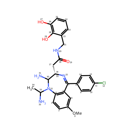 COc1ccc2c(c1)C(c1ccc(Cl)cc1)=N[C@@H](CC(=O)NCc1cccc(O)c1O)C(N)N2C(C)N